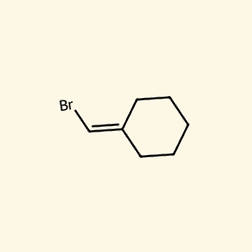 BrC=C1CCCCC1